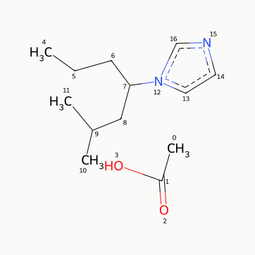 CC(=O)O.CCCC(CC(C)C)n1ccnc1